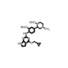 COc1cc(C2CN(C)CCN2C=O)ccc1Nc1nc(OCC2CC2)c2cc[nH]c2n1